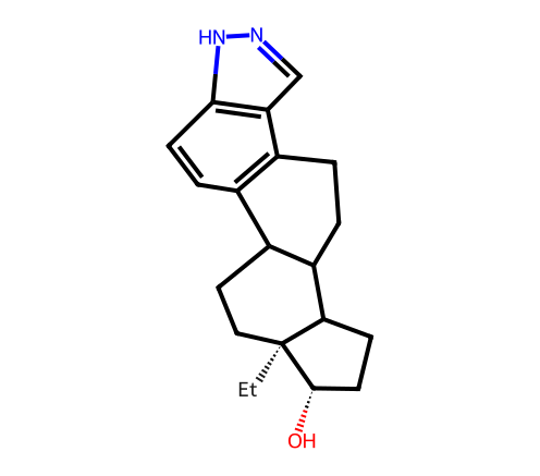 CC[C@]12CCC3c4ccc5[nH]ncc5c4CCC3C1CC[C@@H]2O